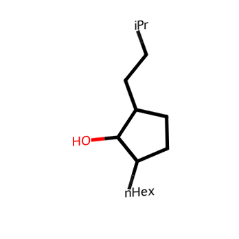 CCCCCCC1CCC(CCC(C)C)C1O